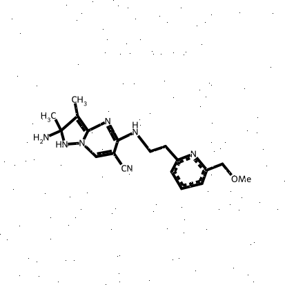 COCc1cccc(CCNC2=NC3=C(C)C(C)(N)NN3C=C2C#N)n1